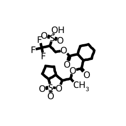 CC(OC(=O)C1CCCCC1C(=O)OCC(C(F)(F)F)S(=O)(=O)O)C1OS(=O)(=O)C2CCCC12